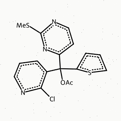 CSc1nccc(C(OC(C)=O)(c2cccs2)c2cccnc2Cl)n1